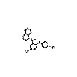 Cc1ccc2c(Nc3cc(Cl)ccc3Oc3ccc(C(C)C)cc3)ccnc2n1